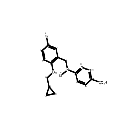 CCN(Cc1cc(Br)ccc1OCC1CC1)c1ccc(C(=O)O)nn1